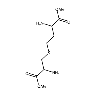 COC(=O)C(N)CCSCC(N)C(=O)OC